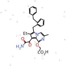 CCc1c(C(=O)C(N)=O)c2c(OCC(=O)O)nc(C)cn2c1Cc1ccccc1Cc1ccccc1